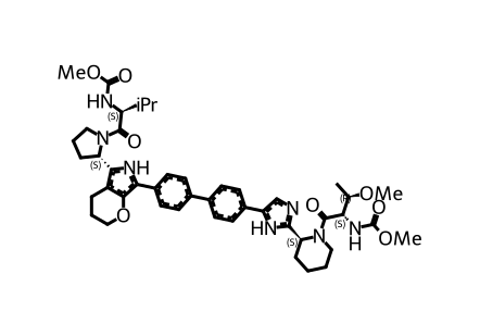 COC(=O)N[C@H](C(=O)N1CCC[C@H]1c1[nH]c(-c2ccc(-c3ccc(-c4cnc([C@@H]5CCCCN5C(=O)[C@@H](NC(=O)OC)[C@@H](C)OC)[nH]4)cc3)cc2)c2c1CCCO2)C(C)C